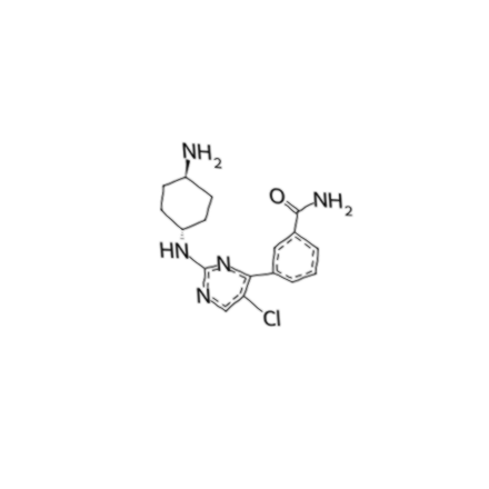 NC(=O)c1cccc(-c2nc(N[C@H]3CC[C@H](N)CC3)ncc2Cl)c1